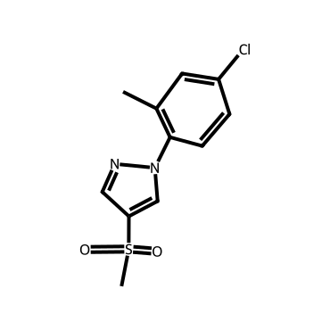 Cc1cc(Cl)ccc1-n1cc(S(C)(=O)=O)cn1